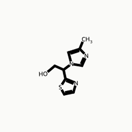 Cc1cn(C(CO)c2nccs2)cn1